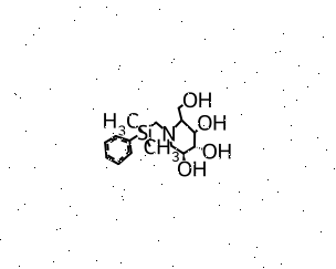 C[Si](C)(CN1C[C@H](O)[C@@H](O)[C@H](O)C1CO)c1ccccc1